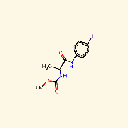 CC(NC(=O)OC(C)(C)C)C(=O)Nc1ccc(I)cc1